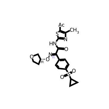 CC(=O)c1sc(NC(=O)/C(=N/O[C@@H]2CCOC2)c2ccc(S(=O)(=O)C3CC3)cc2)nc1C